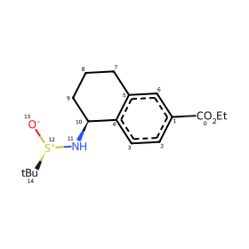 CCOC(=O)c1ccc2c(c1)CCC[C@@H]2N[S@+]([O-])C(C)(C)C